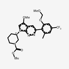 COCOc1cc(C(F)(F)F)cc(C)c1-c1cc2c(OC)cn([C@@H]3CCCN(C(=O)OC(C)(C)C)C3)c2nn1